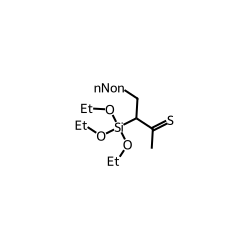 CCCCCCCCCCC(C(C)=S)[Si](OCC)(OCC)OCC